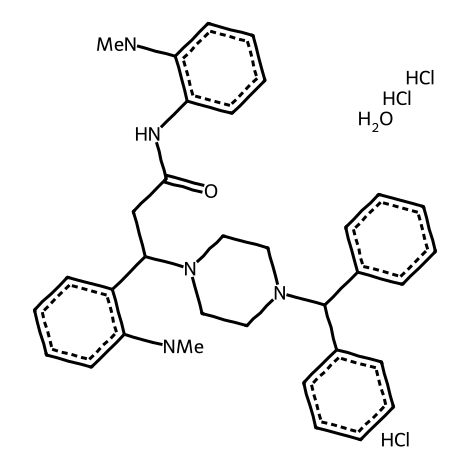 CNc1ccccc1NC(=O)CC(c1ccccc1NC)N1CCN(C(c2ccccc2)c2ccccc2)CC1.Cl.Cl.Cl.O